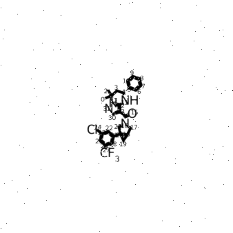 CC1(C)C[C@H](c2ccccc2)Nc2c(C(=O)N3CC4CC4(c4cc(Cl)cc(C(F)(F)F)c4)C3)cnn21